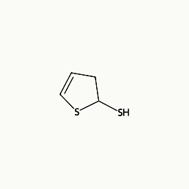 SC1CC=CS1